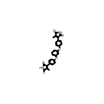 CC1=C(c2ccc(Oc3cccc(Oc4ccc(C5=C(C)C(=O)NC5=O)cc4)c3)cc2)C(=O)NC1=O